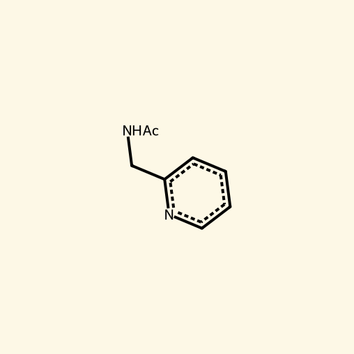 CC(=O)NCc1ccccn1